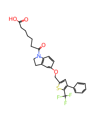 O=C(O)CCCCCC(=O)N1CCc2cc(OCc3cc(-c4ccccc4)c(C(F)(F)F)s3)ccc21